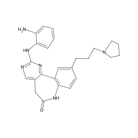 Nc1ccccc1Nc1ncc2c(n1)-c1cc(CCCN3CCCC3)ccc1NC(=O)C2